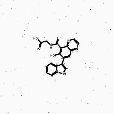 O=C(O)CNC(=O)c1c(O)c(-c2c[nH]c3ccccc23)cc2nccnc12